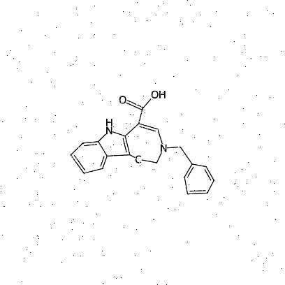 O=C(O)C1=CN(Cc2ccccc2)CCc2c1[nH]c1ccccc21